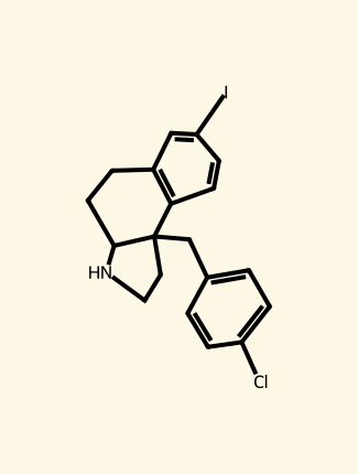 Clc1ccc(CC23CCNC2CCc2cc(I)ccc23)cc1